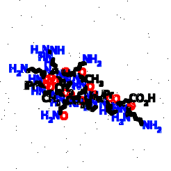 CC(C)[C@H](NC(=O)[C@H](CCCCN)NC(=O)[C@H](CCCNC(=N)N)NC(=O)[C@@H]1CCCN1C(=O)[C@H](CCCCN)NC(=O)[C@H](C)NC(=O)[C@H](CCC(N)=O)NC(=O)[C@@H]1CCCN1C(=O)[C@@H](NC(=O)[C@@H]1CCCN1C(=O)[C@@H](CCC(=O)O)NC(=O)[C@@H](N)CCCCN)C(C)C)C(=O)N[C@@H](C)C(=O)N[C@@H](C)C(=O)N[C@@H](CCC(N)=O)C(=O)O